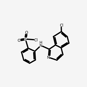 O=S(=O)(Cl)c1ccccc1Nc1nccc2ccc(Cl)cc12